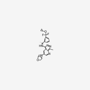 Cc1nnc(N[C@H](C)c2cccc(C(F)(F)OC3CC3)c2)c2cc(N3CC4CC3CO4)cnc12